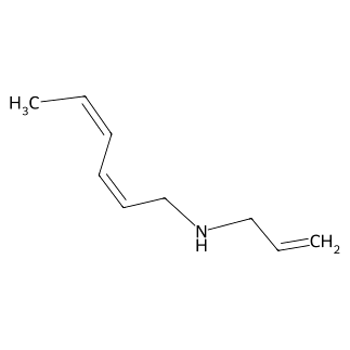 C=CCNC/C=C\C=C/C